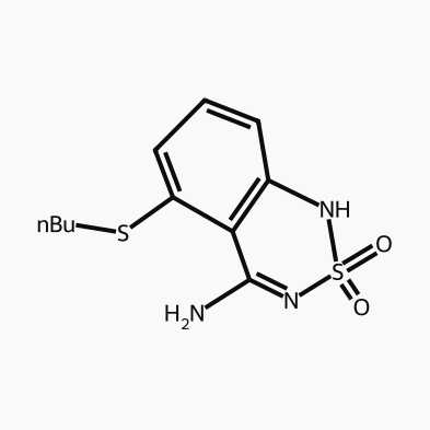 CCCCSc1cccc2c1C(N)=NS(=O)(=O)N2